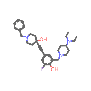 CCN(CC)C1CCN(Cc2cc(C#CC3(O)CCN(Cc4ccccc4)CC3)cc(I)c2O)CC1